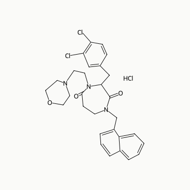 Cl.O=C1C(Cc2ccc(Cl)c(Cl)c2)N(CCN2CCOCC2)C(=O)CCN1Cc1cccc2ccccc12